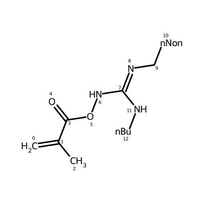 C=C(C)C(=O)ONC(=NCCCCCCCCCC)NCCCC